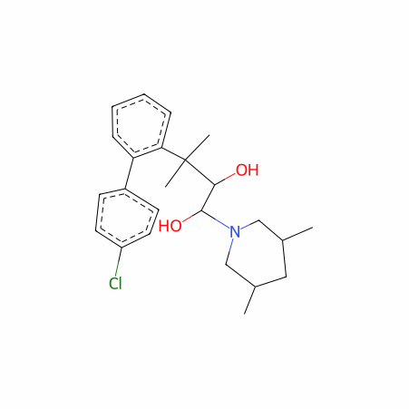 CC1CC(C)CN(C(O)C(O)C(C)(C)c2ccccc2-c2ccc(Cl)cc2)C1